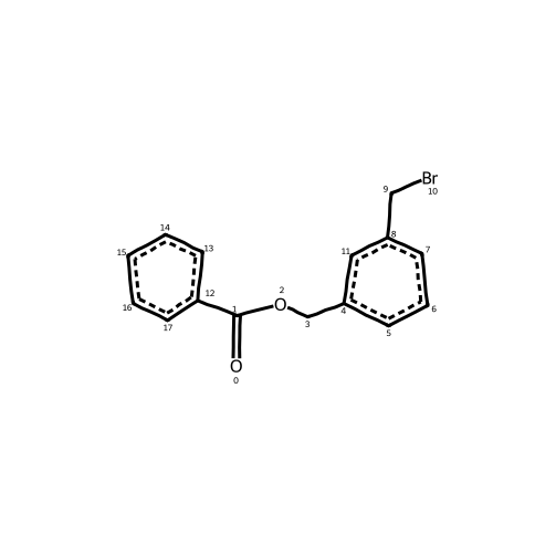 O=C(OCc1cccc(CBr)c1)c1ccccc1